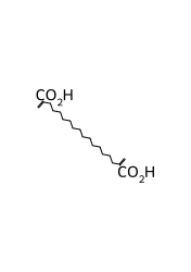 C=C(CCCCCCCCCCCCCCC(=C)C(=O)O)C(=O)O